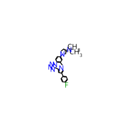 CN(C)[C@@H]1CCN(c2ccc3c(c2)Cn2cc(-c4ccc(F)cc4)cc2-c2nnnn2-3)C1